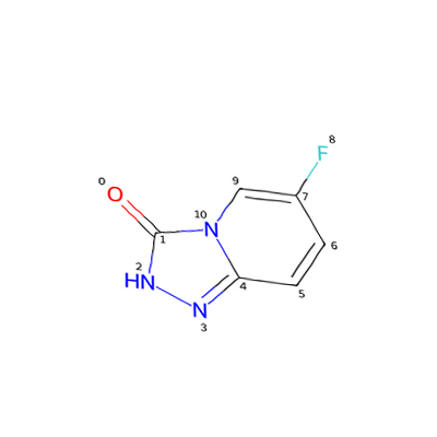 O=c1[nH]nc2ccc(F)cn12